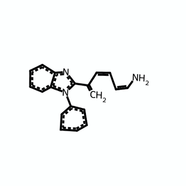 C=C(/C=C\C=C/N)c1nc2ccccc2n1-c1ccccc1